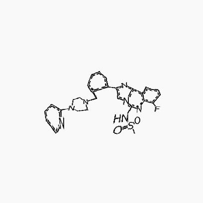 CS(=O)(=O)Nc1nc2c(F)cccc2c2nc(-c3ccccc3CN3CCN(c4ccccn4)CC3)cn12